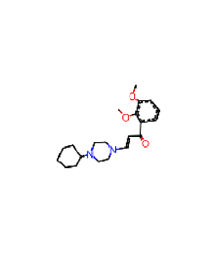 COc1cccc(C(=O)C=CN2CCN(C3CCCCC3)CC2)c1OC